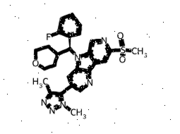 Cc1nnn(C)c1-c1cnc2c3cc(S(C)(=O)=O)ncc3n([C@H](c3ccccc3F)C3CCOCC3)c2c1